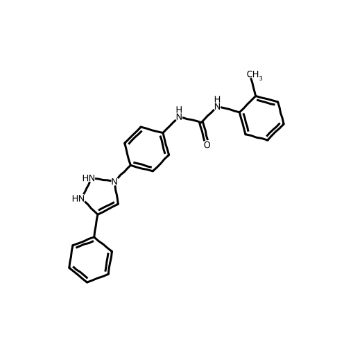 Cc1ccccc1NC(=O)Nc1ccc(N2C=C(c3ccccc3)NN2)cc1